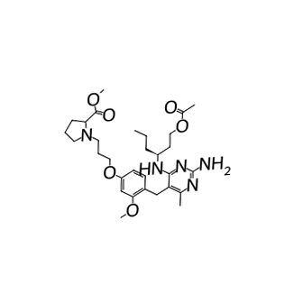 CCC[C@@H](CCOC(C)=O)Nc1nc(N)nc(C)c1Cc1ccc(OCCCN2CCCC2C(=O)OC)cc1OC